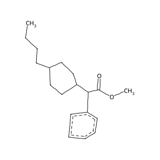 CCCCC1CCC(C(C(=O)OC)c2ccccc2)CC1